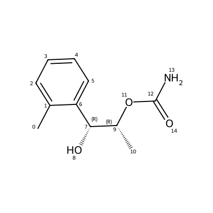 Cc1ccccc1[C@@H](O)[C@@H](C)OC(N)=O